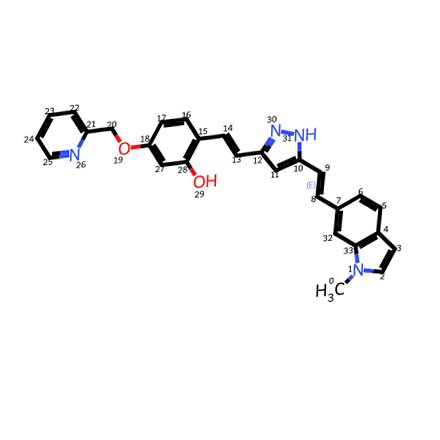 Cn1ccc2ccc(/C=C/c3cc(C=Cc4ccc(OCc5ccccn5)cc4O)n[nH]3)cc21